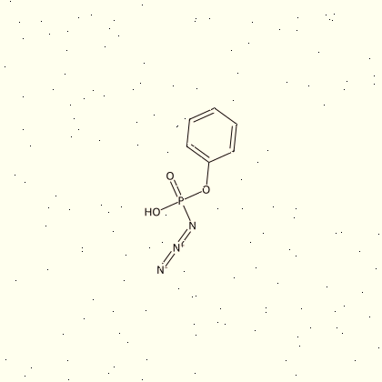 [N-]=[N+]=NP(=O)(O)Oc1ccccc1